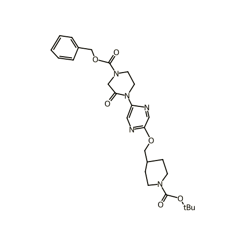 CC(C)(C)OC(=O)N1CCC(COc2cnc(N3CCN(C(=O)OCc4ccccc4)CC3=O)cn2)CC1